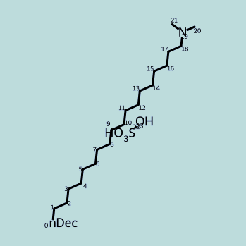 CCCCCCCCCCCCCCCCCCCCCCCCCCCCN(C)C.O=S(=O)(O)O